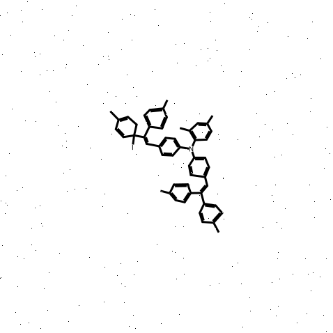 CC1=CCC(I)(/C(=C/c2ccc(N(c3ccc(C=C(c4ccc(C)cc4)c4ccc(C)cc4)cc3)c3ccc(C)cc3C)cc2)c2ccc(C)cc2)C=C1